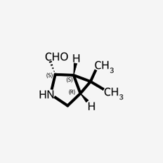 CC1(C)[C@@H]2[C@H]1CN[C@@H]2C=O